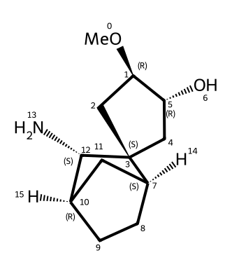 CO[C@@H]1C[C@@]2(C[C@H]1O)[C@H]1CC[C@H](C1)[C@@H]2N